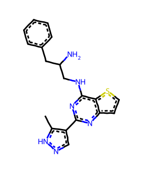 Cc1[nH]ncc1-c1nc(NCC(N)Cc2ccccc2)c2sccc2n1